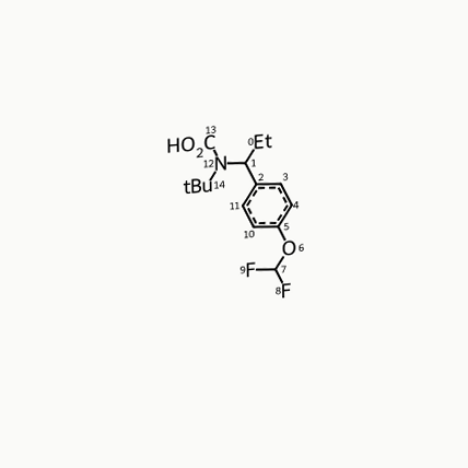 CCC(c1ccc(OC(F)F)cc1)N(C(=O)O)C(C)(C)C